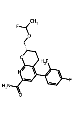 CC(F)OC[C@@H]1CCc2c(-c3ccc(F)cc3P)cc(C(N)=O)nc2O1